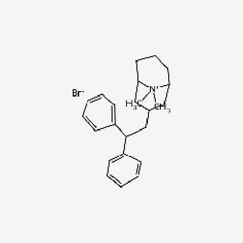 C[N+]1(C)C2CCCC1CC(CC(c1ccccc1)c1ccccc1)C2.[Br-]